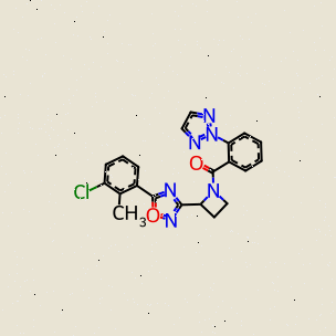 Cc1c(Cl)cccc1-c1nc(C2CCN2C(=O)c2ccccc2-n2nccn2)no1